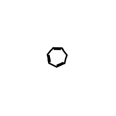 [CH]1C=CC=CC=C1